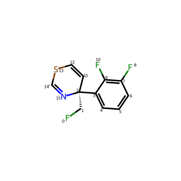 FC[C@@]1(c2cccc(F)c2F)C=CS[C]=N1